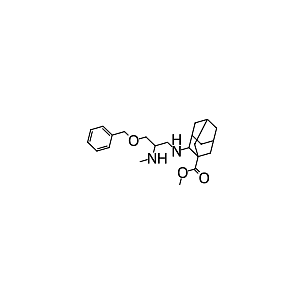 CNC(CNC1C2CC3CC(C2)CC1(C(=O)OC)C3)COCc1ccccc1